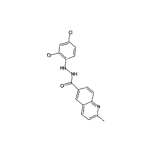 Cc1ccc2cc(C(=O)NNc3ccc(Cl)cc3Cl)ccc2n1